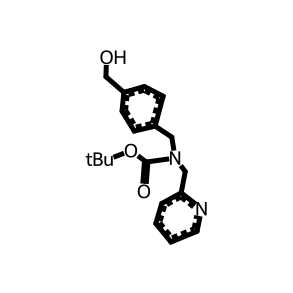 CC(C)(C)OC(=O)N(Cc1ccc(CO)cc1)Cc1ccccn1